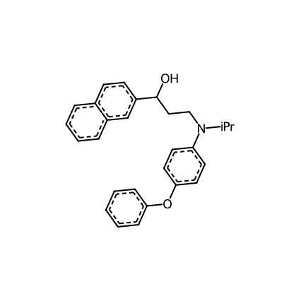 CC(C)N(CCC(O)c1ccc2ccccc2c1)c1ccc(Oc2ccccc2)cc1